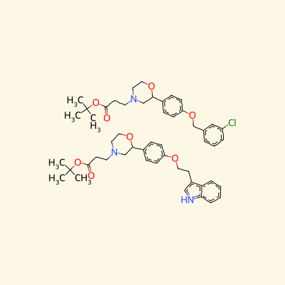 CC(C)(C)OC(=O)CCN1CCOC(c2ccc(OCCc3c[nH]c4ccccc34)cc2)C1.CC(C)(C)OC(=O)CCN1CCOC(c2ccc(OCc3cccc(Cl)c3)cc2)C1